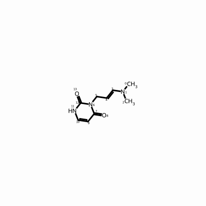 CN(C)C=CCn1c(=O)cc[nH]c1=O